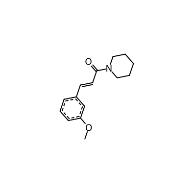 COc1cccc(C=CC(=O)N2CCCCC2)c1